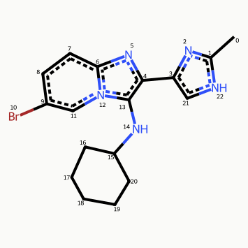 Cc1nc(-c2nc3ccc(Br)cn3c2NC2CCCCC2)c[nH]1